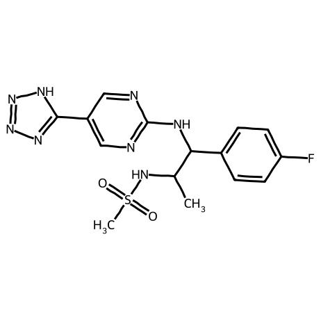 CC(NS(C)(=O)=O)C(Nc1ncc(-c2nnn[nH]2)cn1)c1ccc(F)cc1